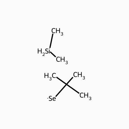 CC(C)(C)[Se].C[SiH2]C